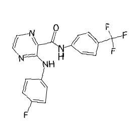 O=C(Nc1ccc(C(F)(F)F)cc1)c1nccnc1Nc1ccc(F)cc1